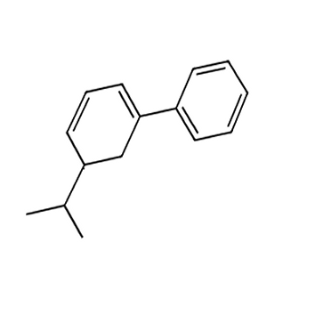 CC(C)[C]1C=CC=C(c2ccccc2)C1